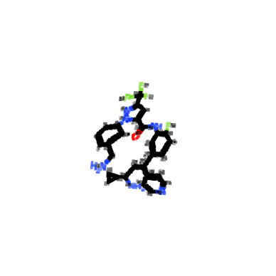 NCc1cccc(-n2nc(C(F)(F)F)cc2C(=O)Nc2cc(C(CC(N)C3CC3)c3ccncc3)ccc2F)c1